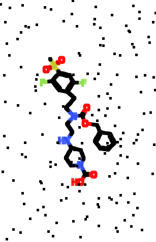 CS(=O)(=O)c1cc(F)c(CCN(CCNC2CCN(C(=O)O)CC2)C(=O)OCc2ccccc2)cc1F